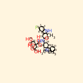 Cc1[nH]c2ccc(F)cc2c1CC(=O)NC1CCC(c2ccccc2)(N(C)C)CC1.O=C(O)CC(O)(CC(=O)O)C(=O)O